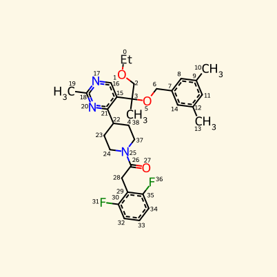 CCOCC(C)(OCc1cc(C)cc(C)c1)c1cnc(C)nc1C1CCN(C(=O)Cc2c(F)cccc2F)CC1